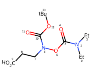 CCN(CC)C(=O)ON(CCC(=O)O)C(=O)OC(C)(C)C